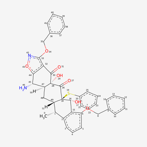 C[C@H]1c2cccc(OCc3ccccc3)c2[C@@H](O)[C@@]2(Sc3ccccc3)C(=O)[C@]3(O)C(=O)c4c(OCc5ccccc5)noc4[C@@H](N)[C@@H]3C[C@@H]12